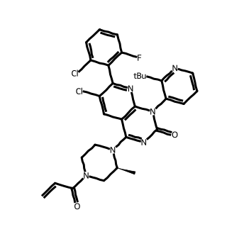 C=CC(=O)N1CCN(c2nc(=O)n(-c3cccnc3C(C)(C)C)c3nc(-c4c(F)cccc4Cl)c(Cl)cc23)[C@@H](C)C1